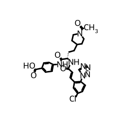 CC(=O)N1CCC(CC[C@H](NC(=O)C=Cc2cc(Cl)ccc2-n2cnnn2)C(=O)Nc2ccc(C(=O)O)cc2)CC1